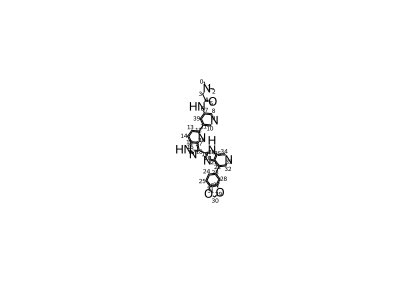 CN(C)CC(=O)Nc1cncc(-c2ccc3[nH]nc(-c4nc5c(-c6ccc7c(c6)OCO7)cncc5[nH]4)c3n2)c1